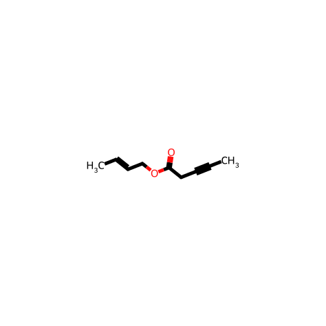 CC#CCC(=O)OCC=CC